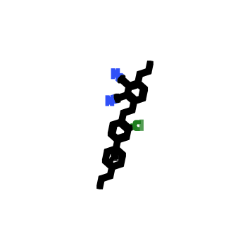 CCCc1ccc(CCc2ccc(C34CCC(CCC)(CC3)CC4)cc2Cl)c(C#N)c1C#N